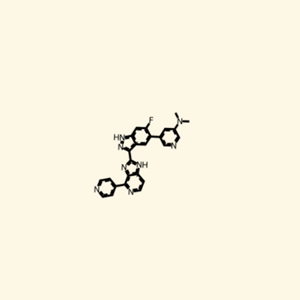 CN(C)c1cncc(-c2cc3c(-c4nc5c(-c6ccncc6)nccc5[nH]4)n[nH]c3cc2F)c1